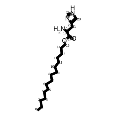 CCCCCCCCCCCCCCCCOC(=O)C(N)Cc1c[nH]cn1